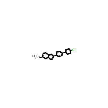 CCc1ccc2cc(-c3ccc(-c4ccc(Cl)cc4)cc3)ccc2c1